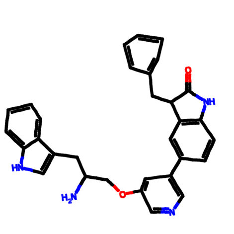 NC(COc1cncc(-c2ccc3c(c2)C(Cc2ccccc2)C(=O)N3)c1)Cc1c[nH]c2ccccc12